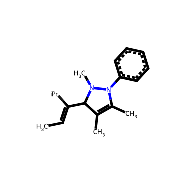 C/C=C(\C(C)C)C1C(C)=C(C)N(c2ccccc2)N1C